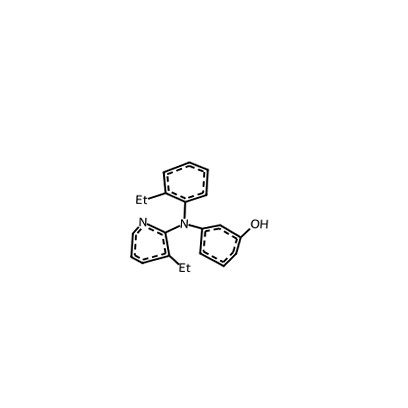 CCc1ccccc1N(c1cccc(O)c1)c1ncccc1CC